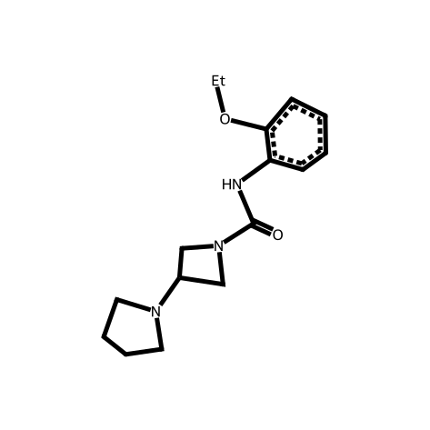 CCOc1ccccc1NC(=O)N1CC(N2CCCC2)C1